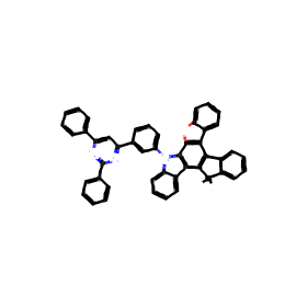 CC1(C)c2ccccc2-c2c1c1c3ccccc3n(-c3cccc(-c4cc(-c5ccccc5)nc(-c5ccccc5)n4)c3)c1c1oc3ccccc3c21